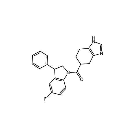 O=C(C1CCc2[nH]cnc2C1)N1CC(c2ccccc2)c2cc(F)ccc21